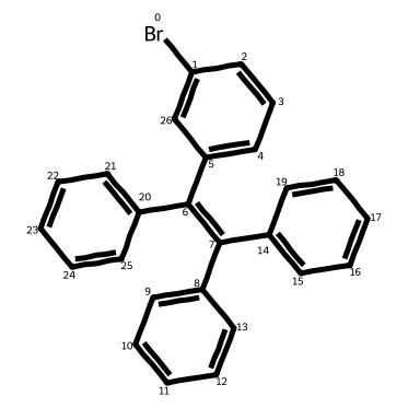 Brc1cccc(C(=C(c2ccccc2)c2ccccc2)c2ccccc2)c1